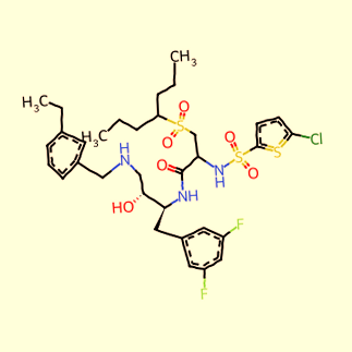 CCCC(CCC)S(=O)(=O)CC(NS(=O)(=O)c1ccc(Cl)s1)C(=O)N[C@@H](Cc1cc(F)cc(F)c1)[C@H](O)CNCc1cccc(CC)c1